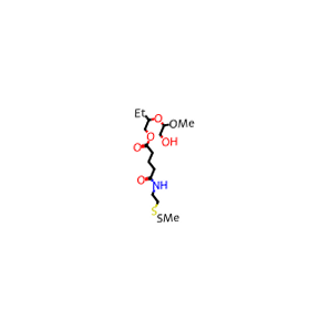 CCC(COC(=O)CCCC(=O)NCCSSC)OC(CO)OC